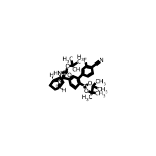 CC(C)(C)OC(=O)N[C@H]1C[C@H]2CC[C@@H]1N2C(=O)c1ccc(B2OC(C)(C)C(C)(C)O2)c(-c2ccc(C#N)c(F)c2)c1